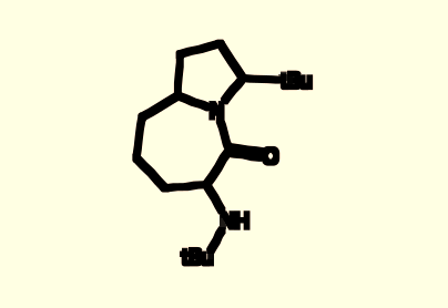 CC(C)(C)NC1CCCC2CCC(C(C)(C)C)N2C1=O